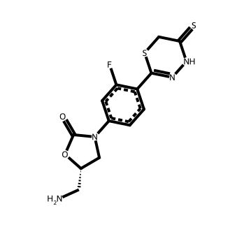 NC[C@H]1CN(c2ccc(C3=NNC(=S)CS3)c(F)c2)C(=O)O1